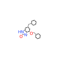 O=C1[N]c2c(cc(Cc3ccccc3)cc2OCc2ccccc2)N1